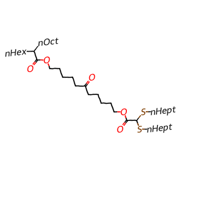 CCCCCCCCC(CCCCCC)C(=O)OCCCCCC(=O)CCCCCOC(=O)C(SCCCCCCC)SCCCCCCC